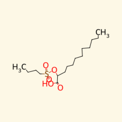 CCCCCCCCCCC(OS(=O)(=O)CCCC)C(=O)O